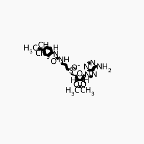 CC1(C)O[C@@H]2[C@H](O1)[C@@H](C[S+]([O-])CCCNC(=O)Nc1ccc(C(C)(C)C)cc1)O[C@H]2n1cnc2c(N)ncnc21